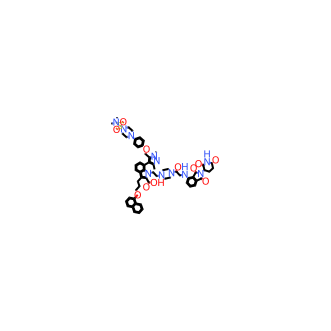 Cc1nn(C)c(COc2ccc(N3CCN(S(=O)(=O)N(C)C)CC3)cc2)c1-c1cccc2c(CCCOc3cccc4ccccc34)c(C(=O)O)n(CCN3CCN(C(=O)CNc4cccc5c4C(=O)N(C4CCC(=O)NC4=O)C5=O)CC3)c12